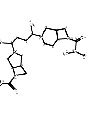 CC(CCC(C)N1CC2CN(C(=O)N(C)C(C)C)C2C1)N1CCC2C(C1)CN2C(=O)N(C)C(C)C